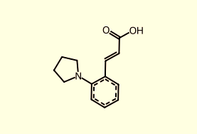 O=C(O)C=Cc1ccccc1N1CCCC1